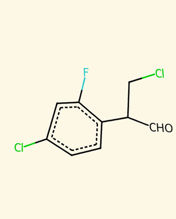 O=CC(CCl)c1ccc(Cl)cc1F